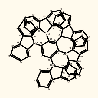 c1ccc2c(c1)-c1ccccc1C2c1c(-n2c3ccccc3c3ccccc32)c(-n2c3ccccc3c3ccccc32)cc(-n2c3ccccc3c3ccccc32)c1-n1c2ccccc2c2ccccc21